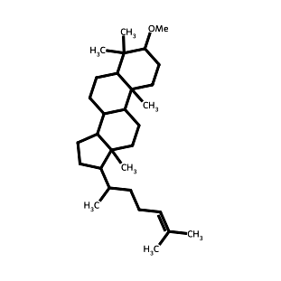 COC1CCC2(C)C3CCC4(C)C(C(C)CCC=C(C)C)CCC4C3CCC2C1(C)C